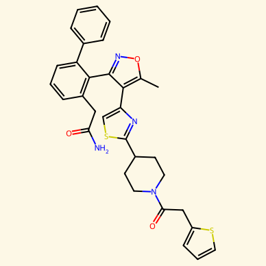 Cc1onc(-c2c(CC(N)=O)cccc2-c2ccccc2)c1-c1csc(C2CCN(C(=O)Cc3cccs3)CC2)n1